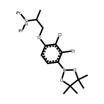 CCc1c(B2OC(C)(C)C(C)(C)O2)ccc(OCC(C)[SiH](C(C)C)C(C)C)c1Cl